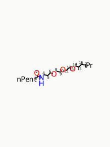 CCCCCC(=O)NCCCOCCOCCOCCCC(C)C